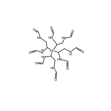 O=CNC[CH](NC=O)[Hf]([CH](CNC=O)NC=O)([CH](CNC=O)NC=O)[CH](CNC=O)NC=O